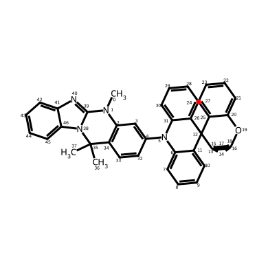 CN1c2cc(N3c4ccccc4C4(c5ccccc5Oc5ccccc54)c4ccccc43)ccc2C(C)(C)n2c1nc1ccccc12